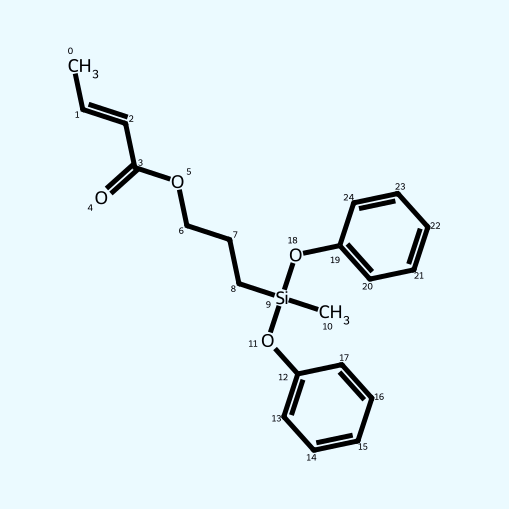 CC=CC(=O)OCCC[Si](C)(Oc1ccccc1)Oc1ccccc1